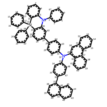 c1ccc(N2c3ccccc3[Si](c3ccccc3)(c3ccccc3)c3ccc(-c4ccc(N(c5ccc(-c6cccc7ccccc67)cc5)c5cc6ccccc6c6ccccc56)cc4)cc32)cc1